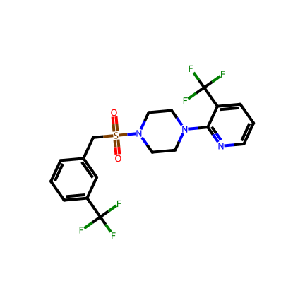 O=S(=O)(Cc1cccc(C(F)(F)F)c1)N1CCN(c2ncccc2C(F)(F)F)CC1